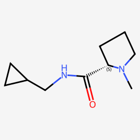 CN1CCC[C@H]1C(=O)NCC1CC1